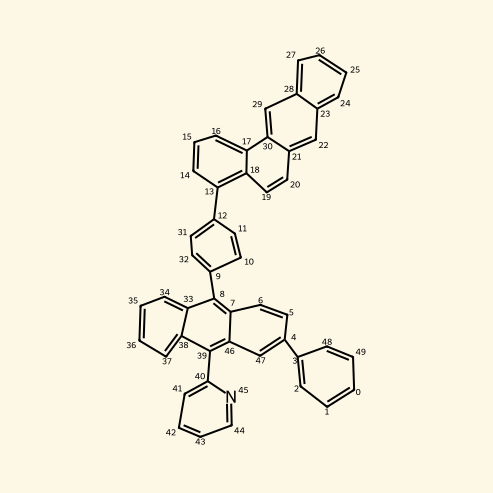 c1ccc(-c2ccc3c(-c4ccc(-c5cccc6c5ccc5cc7ccccc7cc56)cc4)c4ccccc4c(-c4ccccn4)c3c2)cc1